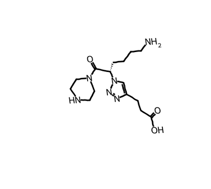 NCCCC[C@@H](C(=O)N1CCNCC1)n1cc(CCC(=O)O)nn1